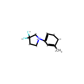 CC1=CC(N2CCC(F)(F)C2)=CCC1